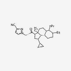 CCCC1C(CC)CCC2C1CCC1(C)C(C(=O)Cn3ccc(C#N)n3)CC(C3CC3)C21